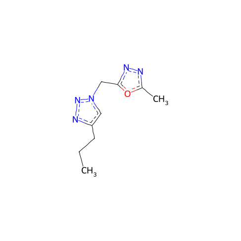 CCCc1cn(Cc2nnc(C)o2)nn1